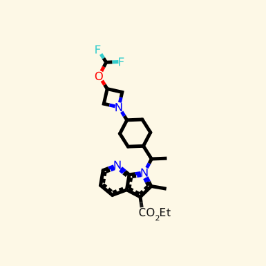 CCOC(=O)c1c(C)n(C(C)C2CCC(N3CC(OC(F)F)C3)CC2)c2ncccc12